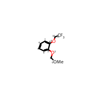 COCOc1ccccc1OCC(F)(F)F